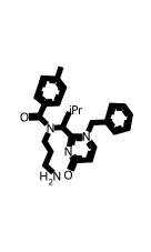 Cc1ccc(C(=O)N(CCCN)C(c2nc(=O)ccn2Cc2ccccc2)C(C)C)cc1